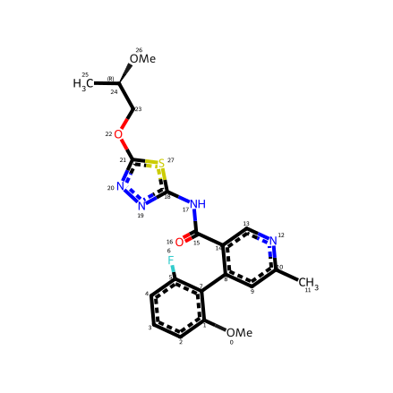 COc1cccc(F)c1-c1cc(C)ncc1C(=O)Nc1nnc(OC[C@@H](C)OC)s1